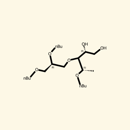 CCCCOC[C@H](COC([C@H](O)CO)[C@H](C)OCCCC)OCCCC